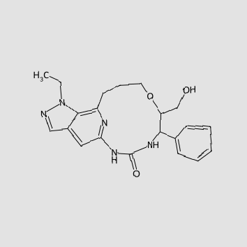 CCn1ncc2cc3nc(c21)CCCOC(CO)C(c1ccccc1)NC(=O)N3